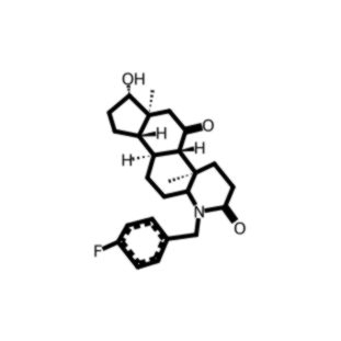 C[C@]12CC(=O)[C@H]3[C@@H](CCC4N(Cc5ccc(F)cc5)C(=O)CC[C@@]43C)[C@@H]1CC[C@@H]2O